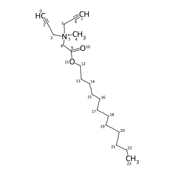 C#CC[N+](C)(CC#C)CC(=O)OCCCCCCCCCCCC